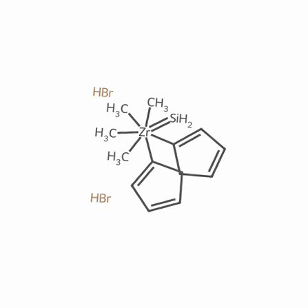 Br.Br.[CH3][Zr]([CH3])([CH3])([CH3])(=[SiH2])([C]1=CC=CC1)[C]1=CC=CC1